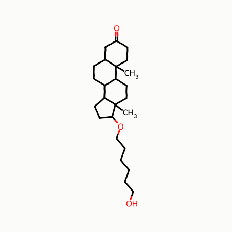 CC12CCC(=O)CC1CCC1C2CCC2(C)C(OCCCCCCO)CCC12